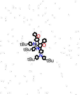 CC(C)(C)c1ccc(N2B3c4cc(C(C)(C)C)ccc4-n4c5cc(N(c6ccc(C(C)(C)C)cc6)c6ccc(C(C)(C)C)cc6)ccc5c5c6oc7ccccc7c6c(c3c54)-c3cc4oc5ccccc5c4cc32)cc1